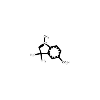 C[N+]1=CC(C)(C)c2cc(C(=O)O)ccc21